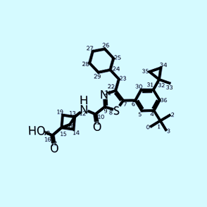 CC(C)(C)c1cc(-c2sc(C(=O)NC34CC(C(=O)O)(C3)C4)nc2CC2CCCCC2)cc(C2(C)CC2)c1